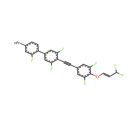 CCCc1ccc(-c2cc(F)c(C#Cc3cc(F)c(O/C=C/C(F)F)c(F)c3)c(F)c2)c(F)c1